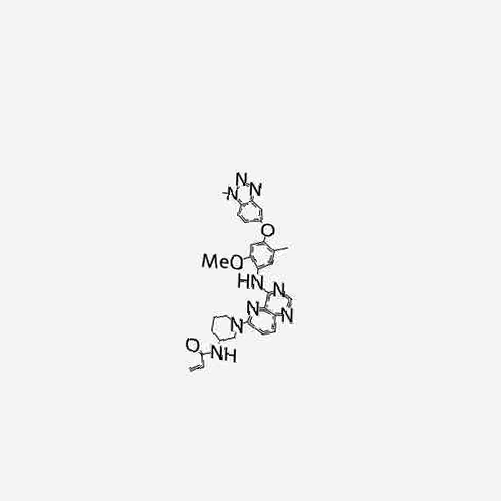 C=CC(=O)N[C@@H]1CCCN(c2ccc3ncnc(Nc4cc(C)c(Oc5ccc6c(c5)nnn6C)cc4OC)c3n2)C1